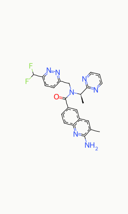 Cc1cc2cc(C(=O)N(Cc3ccc(C(F)F)nn3)[C@H](C)c3ncccn3)ccc2nc1N